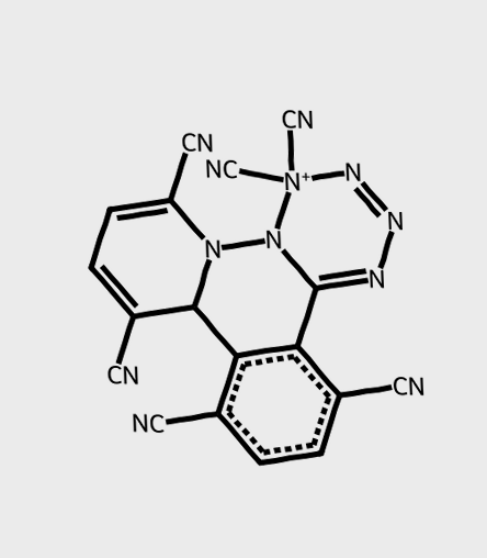 N#CC1=CC=C(C#N)N2C1c1c(C#N)ccc(C#N)c1C1=NN=N[N+](C#N)(C#N)N12